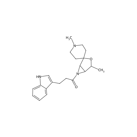 CC1OC2(CCN(C)CC2)C2C1N2C(=O)CCc1c[nH]c2ccccc12